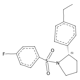 CCc1ccc([C@@H]2CCCN2S(=O)(=O)c2ccc(F)cc2)cc1